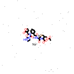 CC(=O)OCC1=C(C(=O)[O-])N2C(=O)C(NC(=O)Cc3ccccc3N(C(=O)C3=CCOC3=O)C(=O)N3CCNC3)[C@@H]2SC1.[Na+]